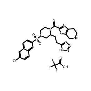 O=C(O)C(F)(F)F.O=C(c1nc2c(s1)CNCC2)N1CCN(S(=O)(=O)c2ccc3cc(Cl)ccc3c2)CC1CCc1nnn[nH]1